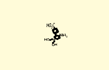 Nc1ccc(N(CCO)CCO)cc1-c1ccc(C(=O)O)cc1